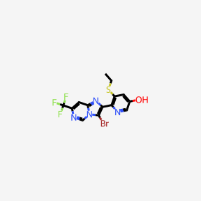 CCSc1cc(O)cnc1-c1nc2cc(C(F)(F)F)ncn2c1Br